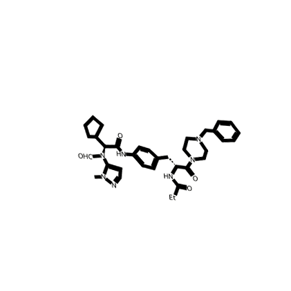 CCC(=O)N[C@H](Cc1ccc(NC(=O)[C@H](C2CCCC2)N(C=O)c2ccnn2C)cc1)C(=O)N1CCN(Cc2ccccc2)CC1